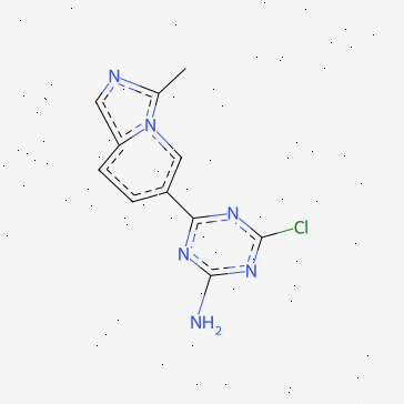 Cc1ncc2ccc(-c3nc(N)nc(Cl)n3)cn12